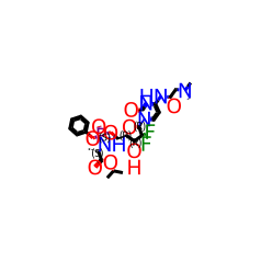 CC(C)OC(=O)[C@H](C)N[P@](=O)(OC[C@H]1O[C@@H](n2ccc(NC(=O)CN(C)C)nc2=O)C(F)(F)[C@@H]1O)Oc1ccccc1